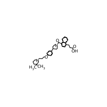 CC1(C)CCCN(CCCOc2ccc(C3CCN(C(=O)c4ccc(CCC(=O)O)c5ccccc45)CC3)cc2)C1